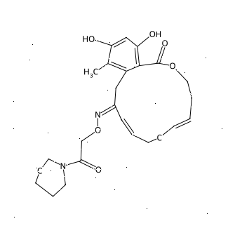 Cc1c(O)cc(O)c2c1CC(=N/OCC(=O)N1CCCCC1)/C=C/CC/C=C/CCOC2=O